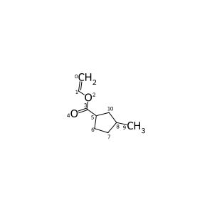 C=COC(=O)C1CCC(C)C1